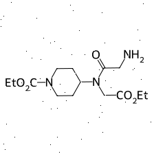 CCOC(=O)CN(C(=O)CN)C1CCN(C(=O)OCC)CC1